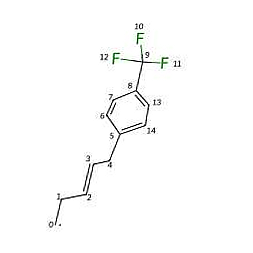 [CH2]CC=CCc1ccc(C(F)(F)F)cc1